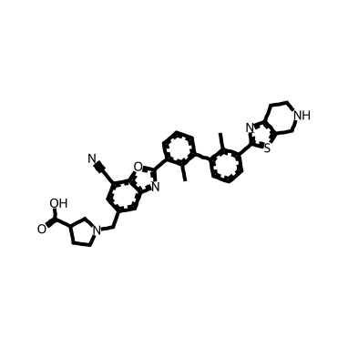 Cc1c(-c2nc3cc(CN4CCC(C(=O)O)C4)cc(C#N)c3o2)cccc1-c1cccc(-c2nc3c(s2)CNCC3)c1C